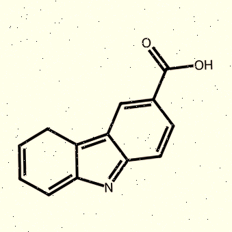 O=C(O)c1ccc2c(c1)=C1CC=CC=C1N=2